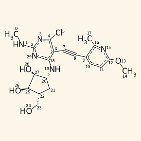 CNc1nc(Cl)c(C#Cc2ccc(OC)nc2C)c(N[C@@H]2C[C@H](CO)[C@@H](O)[C@H]2O)n1